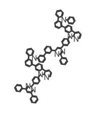 c1ccc(-c2cc(-c3ccccc3)nc(-c3ccc(-n4c5cc(-c6cccc7c8ccccc8n(-c8cccc(-c9cccc(-c%10cc(-c%11ccc(-n%12c%13cc(-c%14cccc%15c%16ccccc%16n(-c%16ccccc%16)c%14%15)ccc%13c%13cccnc%13%12)cc%11)nc(-c%11ccccc%11)n%10)c9)c8)c67)ccc5c5cccnc54)cc3)n2)cc1